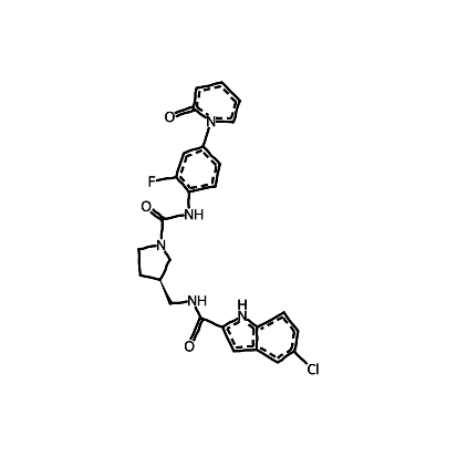 O=C(NC[C@H]1CCN(C(=O)Nc2ccc(-n3ccccc3=O)cc2F)C1)c1cc2cc(Cl)ccc2[nH]1